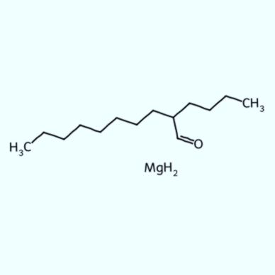 CCCCCCCCC(C=O)CCCC.[MgH2]